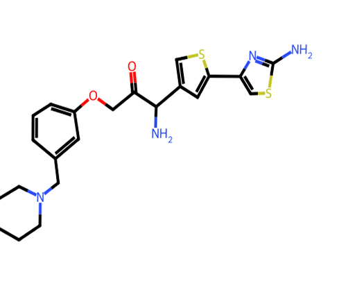 Nc1nc(-c2cc(C(N)C(=O)COc3cccc(CN4CCCCC4)c3)cs2)cs1